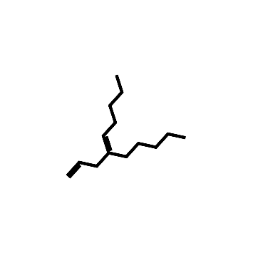 C=CCC(=CCCCC)CCCCC